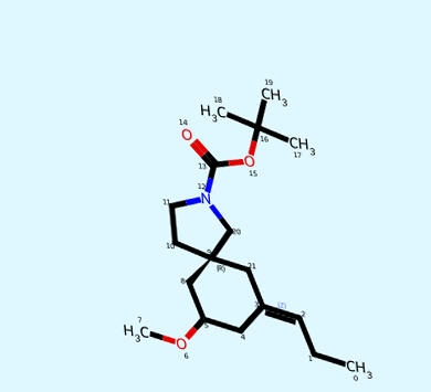 CC/C=C1\CC(OC)C[C@]2(CCN(C(=O)OC(C)(C)C)C2)C1